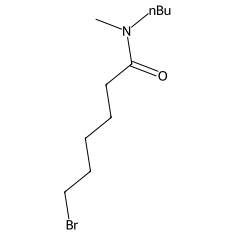 CCCCN(C)C(=O)CCCCCBr